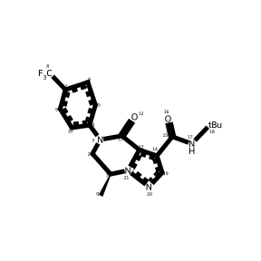 C[C@H]1CN(c2ccc(C(F)(F)F)cc2)C(=O)c2c(C(=O)NC(C)(C)C)cnn21